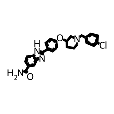 NC(=O)c1ccc2[nH]c(-c3ccc(OC4CCCN(Cc5ccc(Cl)cc5)C4)cc3)nc2c1